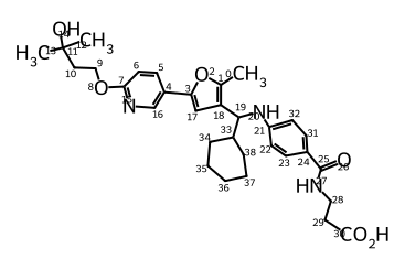 Cc1oc(-c2ccc(OCCC(C)(C)O)nc2)cc1C(Nc1ccc(C(=O)NCCC(=O)O)cc1)C1CCCCC1